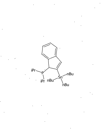 CCC[CH2][Sn]([CH2]CCC)([CH2]CCC)[C]1=Cc2ccccc2C1P(C(C)C)C(C)C